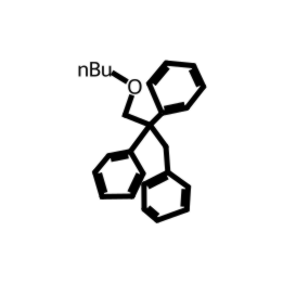 CCCCOCC(Cc1ccccc1)(c1ccccc1)c1ccccc1